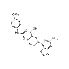 COc1ccc(NC(=O)ON2CCN(c3nc(N)nc4scnc34)C[C@@H]2CO)cc1